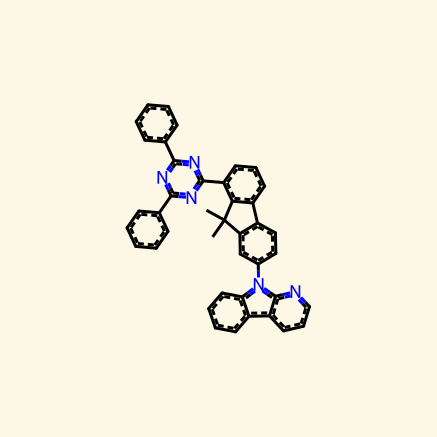 CC1(C)c2cc(-n3c4ccccc4c4cccnc43)ccc2-c2cccc(-c3nc(-c4ccccc4)nc(-c4ccccc4)n3)c21